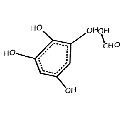 O=CO.Oc1cc(O)c(O)c(O)c1